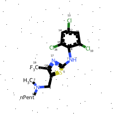 CCCCCN(C)Cc1sc(Nc2c(Cl)cc(Cl)cc2Cl)nc1C(F)(F)F